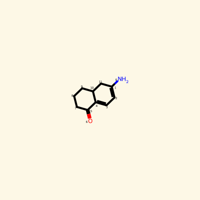 NC1=CC=C2C(=O)CCCC2C1